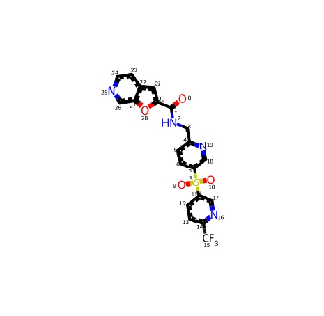 O=C(NCc1ccc(S(=O)(=O)c2ccc(C(F)(F)F)nc2)cn1)c1cc2ccncc2o1